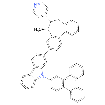 C[C@@H]1c2cc(-c3ccc4c5ccccc5n(-c5ccc6c7ccccc7c7ccccc7c6c5)c4c3)ccc2-c2ccccc2CC1c1ccncc1